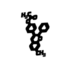 CC(=O)Oc1ccc(C2=Cc3ccc(C)cc3OC2c2ccccc2)cc1